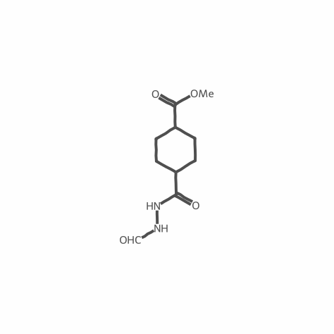 COC(=O)C1CCC(C(=O)NNC=O)CC1